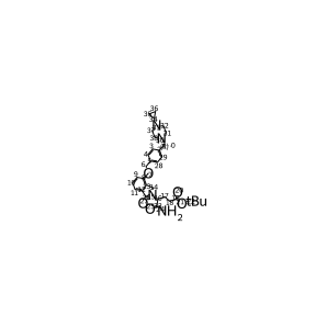 C[C@H](c1ccc(COc2cccc3c2CN(C(CCC(=O)OC(C)(C)C)C(N)=O)C3=O)cc1)N1CCN(C2CC2)CC1